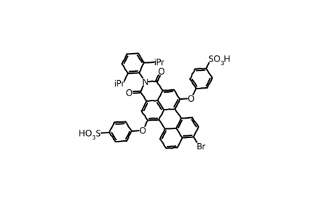 CC(C)c1cccc(C(C)C)c1N1C(=O)c2cc(Oc3ccc(S(=O)(=O)O)cc3)c3c4cccc5c(Br)ccc(c6c(Oc7ccc(S(=O)(=O)O)cc7)cc(c2c36)C1=O)c54